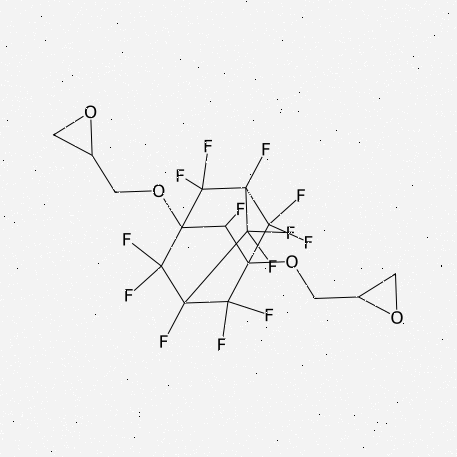 FC1C2(OCC3CO3)C(F)(F)C3(F)C(F)(F)C1(OCC1CO1)C(F)(F)C(F)(C2(F)F)C3(F)F